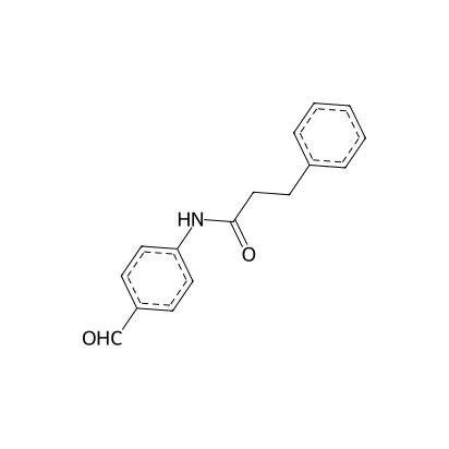 O=Cc1ccc(NC(=O)CCc2ccccc2)cc1